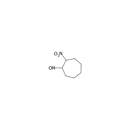 O=NC1CCCCCC1[N+](=O)[O-]